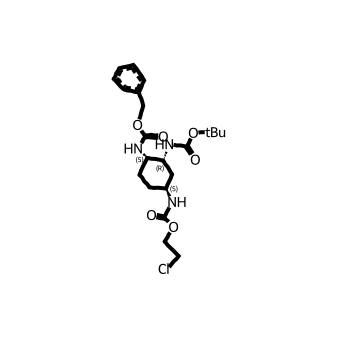 CC(C)(C)OC(=O)N[C@@H]1C[C@@H](NC(=O)OCCCl)CC[C@@H]1NC(=O)OCc1ccccc1